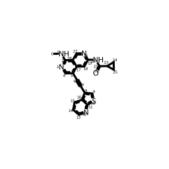 CNc1ncc(C#Cc2csc3ncccc23)c2cc(NC(=O)C3CC3)ncc12